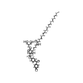 CCC=CCC=CCC=CCC=CCC=CCC=CCCC(=O)NCCCCC(NC(=O)C(C)(C)Oc1ccc(C(=O)c2ccc(Cl)cc2)cc1)C(=O)OCC(CO)CO